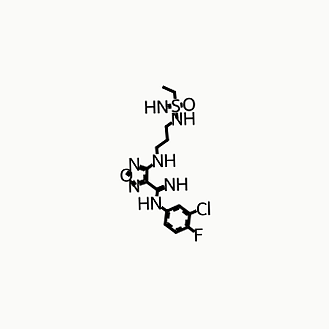 CCS(=N)(=O)NCCCNc1nonc1C(=N)Nc1ccc(F)c(Cl)c1